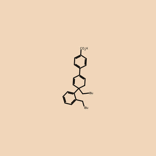 CCC(C)Cc1ccccc1C1(CC(C)CC)C=CC(c2ccc(C(=O)O)cc2)=CC1